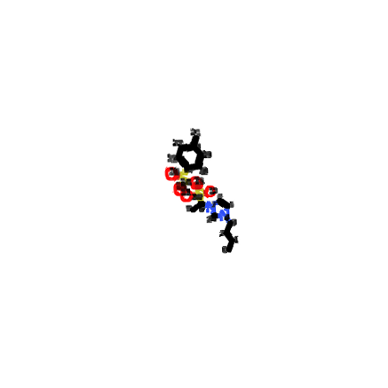 CCCCN1C=CN(C(C)S(=O)(=O)OS(=O)(=O)c2ccc(C)cc2)C1